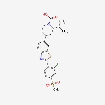 CC(C)C1CC(c2ccc3nc(-c4ccc(S(C)(=O)=O)cc4F)sc3c2)CCN1C(=O)O